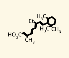 CCC(C=CC1=C(C)CCCC1(C)C)=CC=CC(C)=CC(=O)O